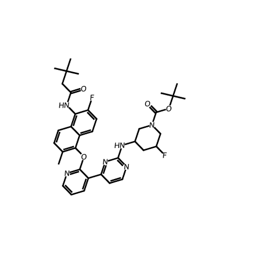 Cc1ccc2c(NC(=O)CC(C)(C)C)c(F)ccc2c1Oc1ncccc1-c1ccnc(NC2CC(F)CN(C(=O)OC(C)(C)C)C2)n1